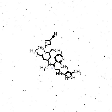 CCC1CC(N(C)/C(=N/CNc2cc(C)[nH]n2)c2cccnc2C)CC(CC)N1[S+]([O-])N1CC(C#N)C1